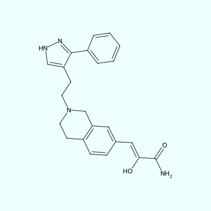 NC(=O)C(O)=Cc1ccc2c(c1)CN(CCc1c[nH]nc1-c1ccccc1)CC2